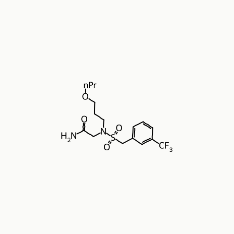 CCCOCCCN(CC(N)=O)S(=O)(=O)Cc1cccc(C(F)(F)F)c1